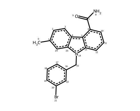 Cc1c[c]c2c3c(C(N)=O)cccc3n(Cc3cccc(Br)c3)c2c1